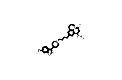 CC1CC(=O)N2CCCc3cc(CCCCN4CCC(c5noc6cc(F)ccc56)CC4)cc1c32